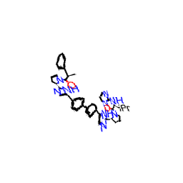 CC(C)[C@H](Nc1ncccn1)C(=O)N1CCC[C@H]1c1ncc(-c2ccc(-c3ccc(-c4cnc([C@@H]5CCCN5C(=O)[C@H](C)c5ccccc5)[nH]4)cc3)cc2)[nH]1